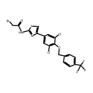 O=C(CBr)Nc1nc(-c2cc(Cl)c(OCc3ccc(C(F)(F)F)cc3)c(Cl)c2)cs1